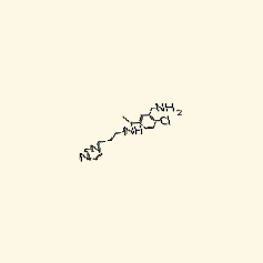 CC(NCCCn1ccnc1)c1ccc(Cl)c(CN)c1